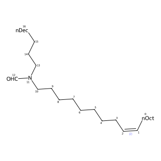 CCCCCCCC/C=C\CCCCCCCCN(C=O)CCCCCCCCCCCCC